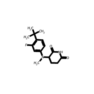 CN(c1ccc(C(C)(C)C)c(F)c1)C1CCC(=O)NC1=O